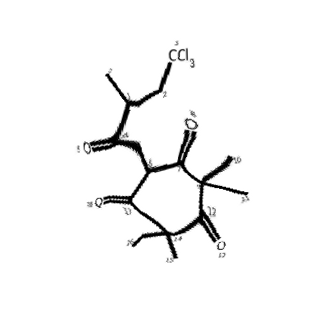 CC(CC(Cl)(Cl)Cl)C(=O)C1C(=O)C(C)(C)C(=O)C(C)(C)C1=O